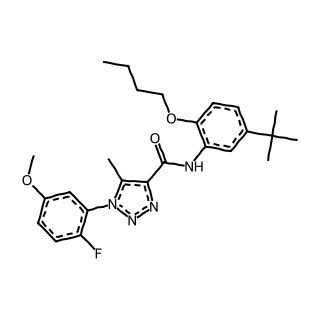 CCCCOc1ccc(C(C)(C)C)cc1NC(=O)c1nnn(-c2cc(OC)ccc2F)c1C